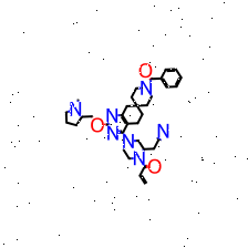 C=CC(=O)N1CCN(c2nc(OCC3CCCN3C)nc3c2CCC2(CCN(C(=O)c4ccccc4)CC2)C3)CC1CC#N